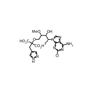 CO[C@H](COC(Cc1cn[nH]c1)(C(=O)O)C(=O)O)[C@@H](O)[C@H](F)n1cnc2c(N)nc(Cl)nc21